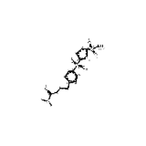 CN(C)C(=O)CCCc1ccc(S(=O)(=O)c2ccc(S(N)(=O)=O)s2)cc1